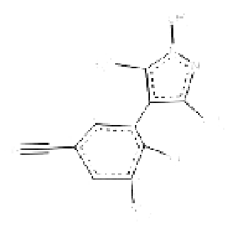 Cc1nn(C)c(C)c1-c1cc(C#N)cc(N)c1Cl